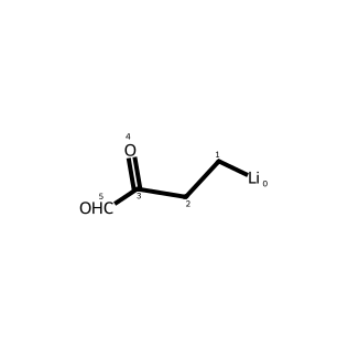 [Li][CH2]CC(=O)C=O